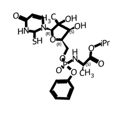 CC(C)OC(=O)[C@H](C)NP(=O)(OC[C@H]1O[C@@H](N2C=CC(=O)NC2S)C(C)(O)[C@H]1O)Oc1ccccc1